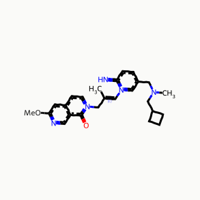 COc1cc2ccn(C/C(C)=C/n3cc(CN(C)CC4CCC4)ccc3=N)c(=O)c2cn1